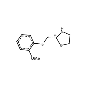 COc1ccccc1SC[C@@H]1NCCS1